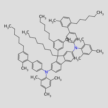 CCCCCCCCC1(c2cc(C)cc(CCCCCC)c2)c2cc(N(c3ccc(-c4cc(CCCCCC)ccc4C)cc3)c3c(C)cc(C)cc3C)ccc2-c2ccc(N(c3ccc(-c4cc(C)ccc4CCCCCC)cc3)c3c(C)cc(C)cc3C)cc21